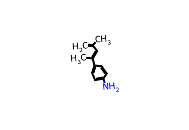 C=C(C)/C=C(\C)c1ccc(N)cc1